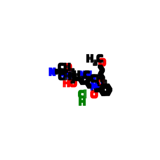 COCCCCOc1ccccc1C(=O)NCC(CC(N)C(O)CNC(=O)C(C)(C)C#N)C(C)C.Cl